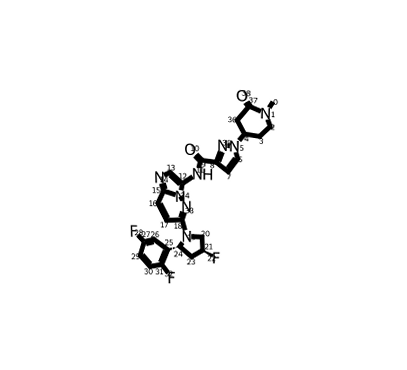 CN1CCC(n2ccc(C(=O)Nc3cnc4ccc(N5C[C@@H](F)C[C@@H]5c5cc(F)ccc5F)nn34)n2)CC1=O